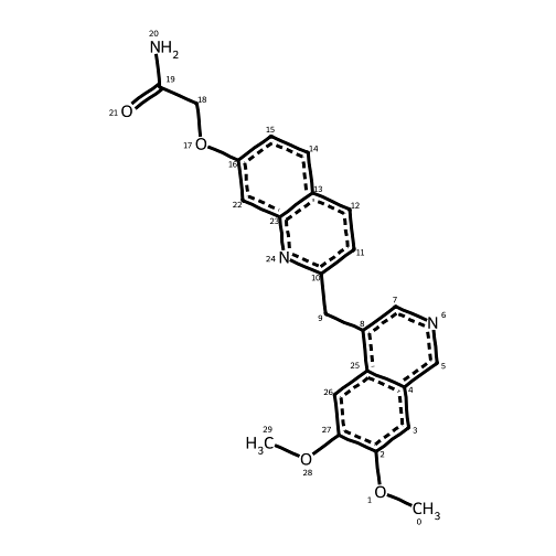 COc1cc2cncc(Cc3ccc4ccc(OCC(N)=O)cc4n3)c2cc1OC